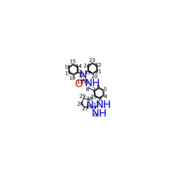 N=C(Nc1cccc(CNC(=O)N(c2ccccc2)c2ccccc2)c1)N1CCCC1